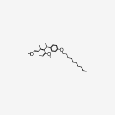 C\C=C(OC)/C(=C(C)\C=C\OC)C(C)c1ccc(OCCCCCCCCCC)cc1